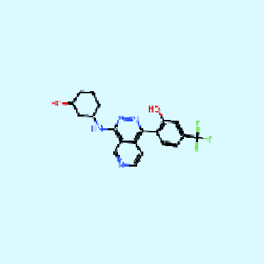 Oc1cc(C(F)(F)F)ccc1-c1nnc(NC2CCCC(O)C2)c2cnccc12